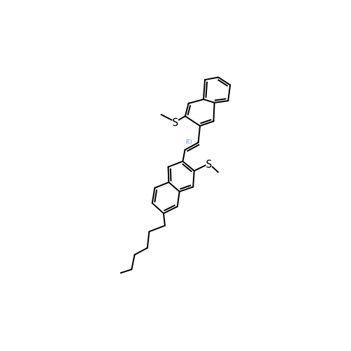 CCCCCCc1ccc2cc(/C=C/c3cc4ccccc4cc3SC)c(SC)cc2c1